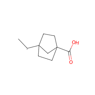 C[CH]C12CCC(C(=O)O)(CC1)C2